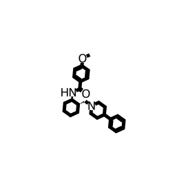 COc1ccc(C(=O)N[C@@H]2CCCC[C@H]2CN2CCC(c3ccccc3)CC2)cc1